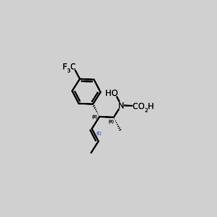 C/C=C/[C@H](c1ccc(C(F)(F)F)cc1)[C@@H](C)N(O)C(=O)O